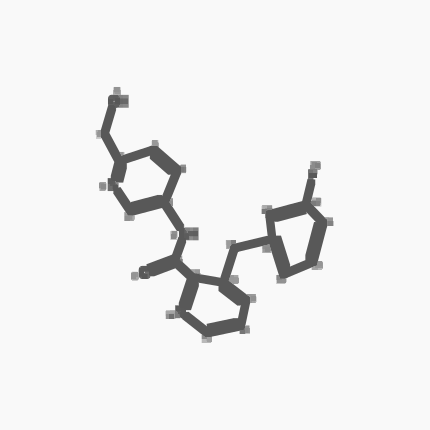 O=C(Nc1ccc(CO)nc1)c1ncccc1Cc1cccc(F)c1